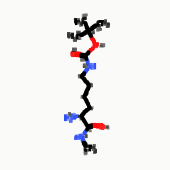 CNC(=O)[C@H](N)CCCCNC(=O)OC(C)(C)C